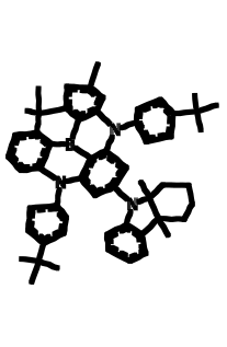 Cc1cc2c3c(c1)C(C)(C)c1cccc4c1B3c1c(cc(N3c5ccccc5C5(C)CCCCC35C)cc1N2c1ccc(C(C)(C)C)cc1)N4c1ccc(C(C)(C)C)cc1